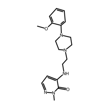 COc1ccccc1N1CCN(CCNc2ccnn(C)c2=O)CC1